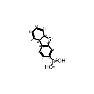 OB(O)c1ccc2c(c1)SC1C=CC=CC21